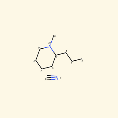 C#N.CCCC1CCCCN1C